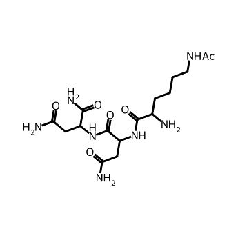 CC(=O)NCCCCC(N)C(=O)NC(CC(N)=O)C(=O)NC(CC(N)=O)C(N)=O